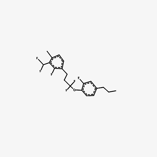 CCCc1ccc(OC(F)(F)CCc2ccc(C)c(C(F)F)c2F)c(F)c1